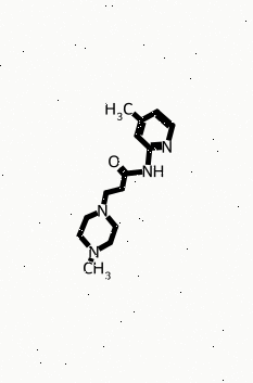 Cc1ccnc(NC(=O)CCN2CCN(C)CC2)c1